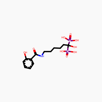 O=C(NCCCCCC(O)(P(=O)(O)O)P(=O)(O)O)c1ccccc1O